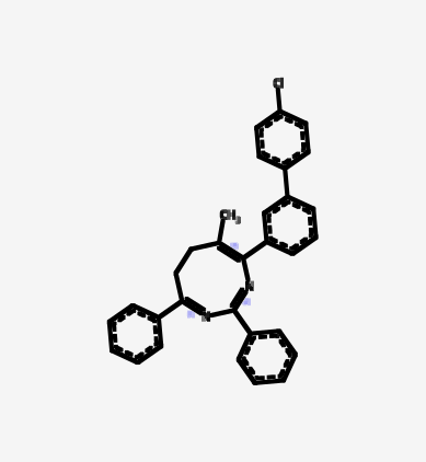 C/C1=C(c2cccc(-c3ccc(Cl)cc3)c2)/N=C(c2ccccc2)\N=C(\c2ccccc2)CC1